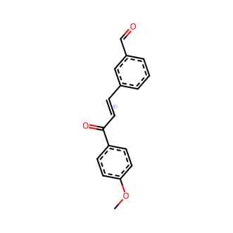 COc1ccc(C(=O)/C=C/c2cccc(C=O)c2)cc1